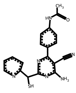 CC(=O)Nc1ccc(-c2nc(C(S)c3ccccn3)nc(N)c2C#N)cc1